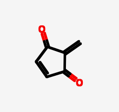 C=C1C(=O)C=CC1=O